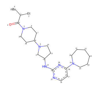 CCCCC(CC)C(=O)N1CCC(N2CCC(Nc3nccc(N4CCCCCC4)n3)C2)CC1